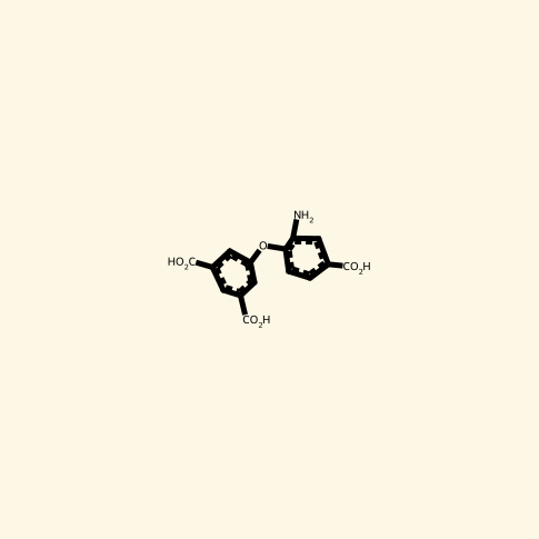 Nc1cc(C(=O)O)ccc1Oc1cc(C(=O)O)cc(C(=O)O)c1